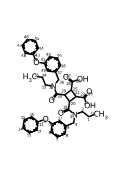 CCCN(Cc1cccc(Oc2ccccc2)c1)C(=O)C1C(C(=O)O)C(C(=O)O)C1C(=O)N(CCC)Cc1cccc(Oc2ccccc2)c1